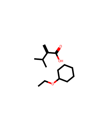 C=C(C(=O)O)C(C)C.CCOC1CCCCC1